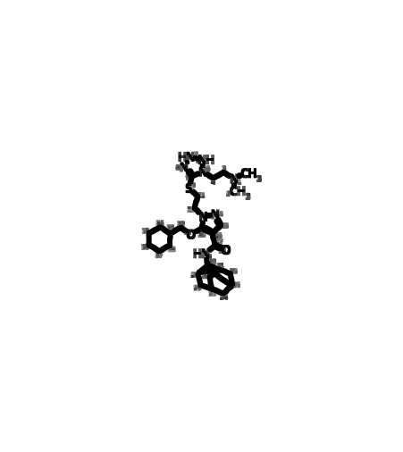 CN(C)CCN1NNN=C1SCCn1ncc(C(=O)NC2C3CC4CC(C3)CC2C4)c1OCC1CCCCC1